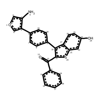 Nc1cocc1-c1ccc(-c2c(C(=O)c3ccccc3)sc3cc(O)ccc23)cc1